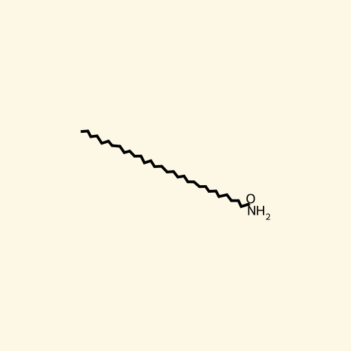 CCCCCCCCCCCCCCCCCCCCCCCCCCCCCCCC(N)=O